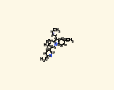 C/C=C\Cc1c(CCC)n(C[C@@H](C)c2ccc(C)nc2)c2ccc(C)cc12